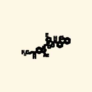 CC(=O)c1cn(CC(=O)N2C[C@H](F)C[C@H]2C(=O)Nc2cccc(-c3ccccc3Cl)c2F)c2ccc(NCCC(F)(F)F)cc12